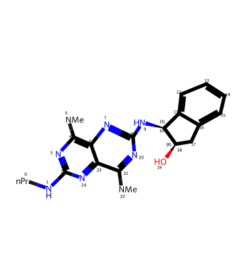 CCCNc1nc(NC)c2nc(N[C@H]3c4ccccc4C[C@H]3O)nc(NC)c2n1